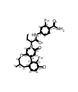 CCC(C(=O)Nc1ccc(C(N)=O)c(F)c1)n1cc2c(cc1=O)-c1c(ccc(Cl)c1F)CC(C)CO2